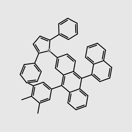 Cc1cc(-c2c3ccccc3c(-c3cccc4ccccc34)c3ccc(-n4c(-c5ccccc5)ccc4-c4ccccc4)cc23)cc(C)c1C